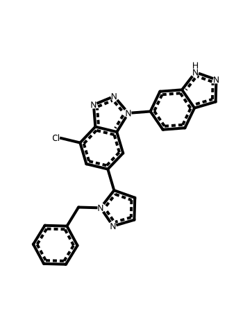 Clc1cc(-c2ccnn2Cc2ccccc2)cc2c1nnn2-c1ccc2cn[nH]c2c1